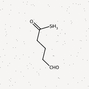 O=CCCCC(=O)[SiH3]